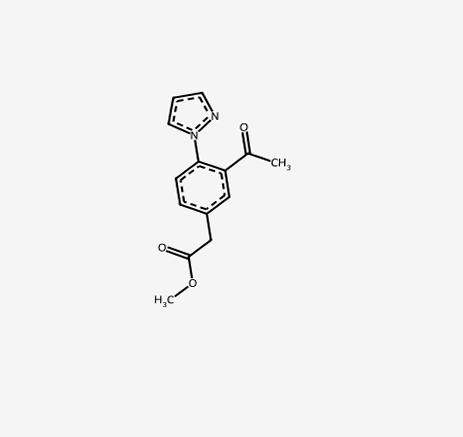 COC(=O)Cc1ccc(-n2cccn2)c(C(C)=O)c1